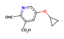 O=Cc1ncc(OC2CC2)cc1C(=O)O